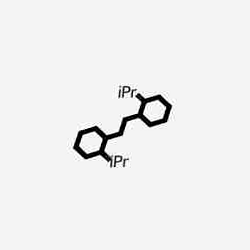 CC(C)C1CCCCC1CCC1CCCCC1C(C)C